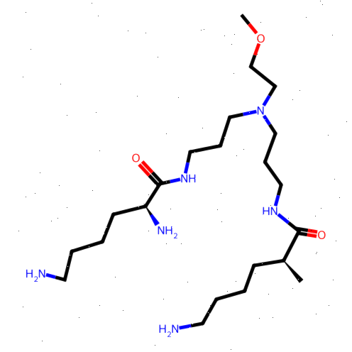 COCCN(CCCNC(=O)[C@@H](C)CCCCN)CCCNC(=O)[C@@H](N)CCCCN